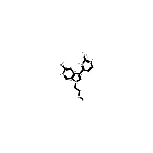 COCCn1cc(-c2ccnc(N)n2)c2cc(Br)ncc21